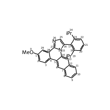 COc1ccc2c3cc4ccccc4cc3n3c(-c4c(C(C)C)cccc4C(C)C)cnc3c2c1